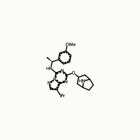 COc1cccc([C@H](C)Nc2nc(OC3CC4CCC(C3)N4)nc3c(C(C)C)cnn23)c1